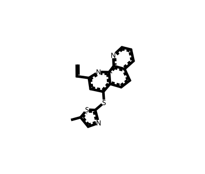 C=Cc1cc(Sc2ncc(C)s2)c2ccc3cccnc3c2n1